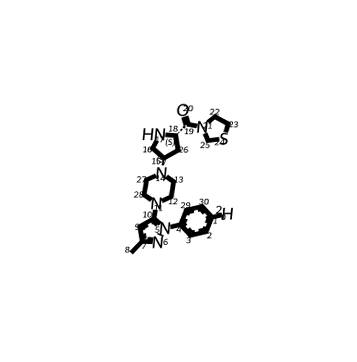 [2H]c1ccc(-n2nc(C)cc2N2CCN([C@@H]3CN[C@H](C(=O)N4CCSC4)C3)CC2)cc1